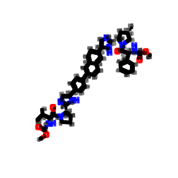 COC(=O)N[C@H](C(=O)N1CCC[C@H]1c1ncc(-c2ccc(-c3ccc4cc(-c5cnc([C@@H]6C[C@H](C)CN6C(=O)[C@H](NC(=O)OC)c6ccccc6)[nH]5)ccc4c3)cc2)[nH]1)C(C)C